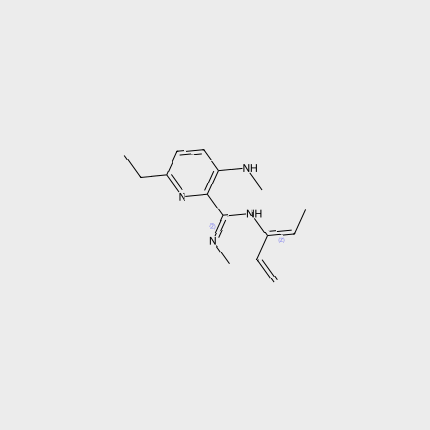 C=C/C(=C/C)N/C(=N\C)c1nc(CC)ccc1NC